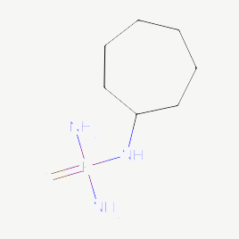 NP(N)(=S)NC1CCCCCC1